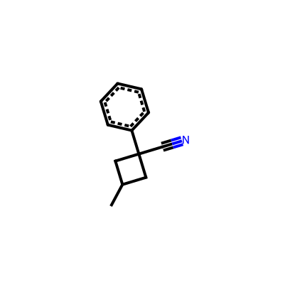 CC1CC(C#N)(c2ccccc2)C1